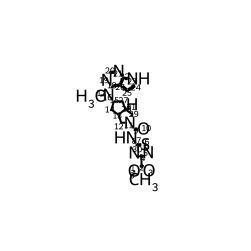 COC(=O)c1nsc(NC(=O)N2CC3CC(N(C)c4ncnc5[nH]ccc45)C[C@@H]3C2)n1